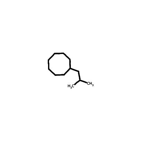 C[C](C)CC1CCCCCCC1